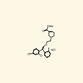 COC(=O)C1=CCCN(CCO/C=C(\c2ccccc2C)c2ccc(Cl)cc2Cl)C1.Cl